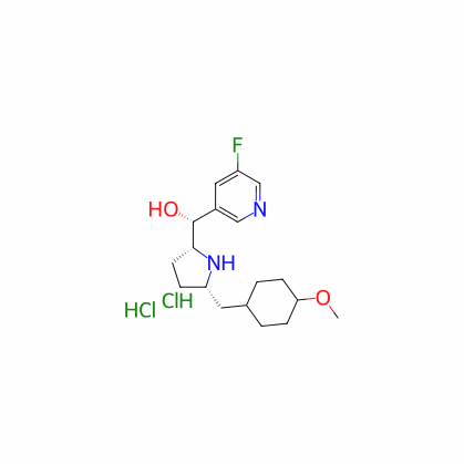 COC1CCC(C[C@@H]2CC[C@H]([C@H](O)c3cncc(F)c3)N2)CC1.Cl.Cl